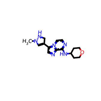 CN1C=C(c2cnc3c(NC4CCOCC4)nccn23)CN1